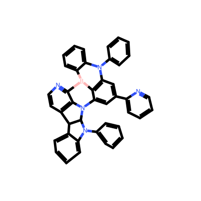 c1ccc(N2c3ccccc3B3c4nccc5c4N(c4cc(-c6ccccn6)cc2c43)C2C5c3ccccc3N2c2ccccc2)cc1